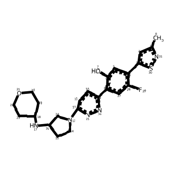 Cc1cc(-c2cc(O)c(-c3ccc(N4CCC(NC5CCOCC5)C4)nn3)cc2F)sn1